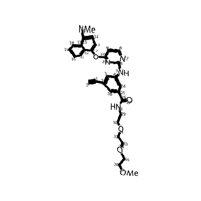 C#Cc1cc(Nc2nccc(Oc3ccc(NC)c4ccccc34)n2)cc(C(=O)NCCOCCOCCOC)c1